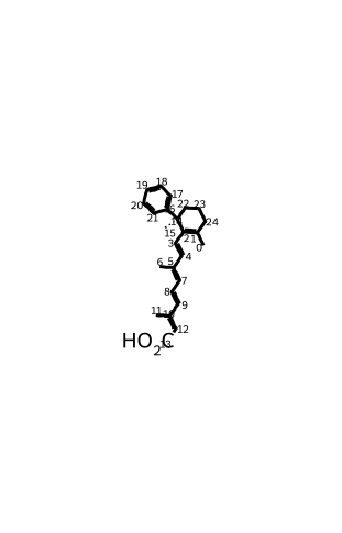 CC1=C(/C=C/C(C)=C/C=C/C(C)=C/C(=O)O)[C@@](C)(c2ccccc2)CCC1